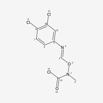 CN(OC=Nc1ccc(Cl)c(Cl)c1)C(=O)Cl